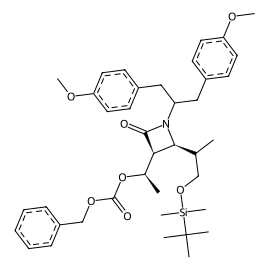 COc1ccc(CC(Cc2ccc(OC)cc2)N2C(=O)[C@H]([C@@H](C)OC(=O)OCc3ccccc3)[C@@H]2C(C)CO[Si](C)(C)C(C)(C)C)cc1